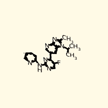 Cc1nc2ncc(-c3nc(Nc4cc[c]cn4)ncc3F)cc2n1C(C)C